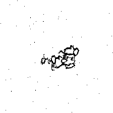 O=C(CO)N1CCC[C@@H]1COc1cccc2ncnc(Nc3ccc(OCc4cncs4)c(Cl)c3)c12